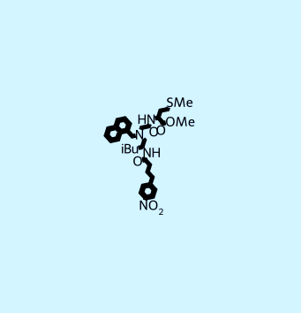 CCC(C)C(CN(CC(=O)NC(CCSC)C(=O)OC)Cc1cccc2ccccc12)NC(=O)CCCc1ccc([N+](=O)[O-])cc1